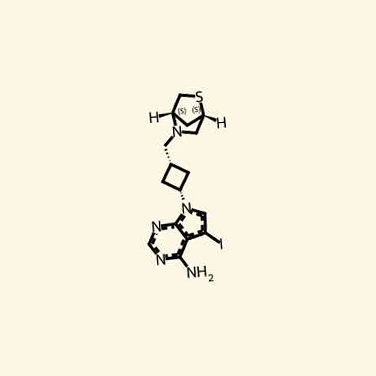 Nc1ncnc2c1c(I)cn2[C@H]1C[C@@H](CN2C[C@@H]3C[C@H]2CS3)C1